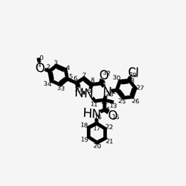 COc1ccc(-c2cc3n(n2)CC(C)(C(=O)NC2CCCCC2)N(c2cccc(Cl)c2)C3=O)cc1